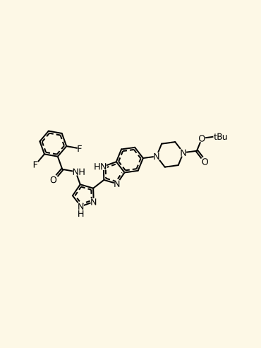 CC(C)(C)OC(=O)N1CCN(c2ccc3[nH]c(-c4n[nH]cc4NC(=O)c4c(F)cccc4F)nc3c2)CC1